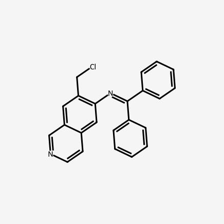 ClCc1cc2cnccc2cc1N=C(c1ccccc1)c1ccccc1